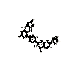 Cc1cc(Nc2cc(C)nc(C34CCC(C(=O)N[C@H](C)c5ccc(-n6cc(F)cn6)nc5)(CC3)CC4)n2)[nH]n1